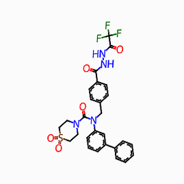 O=C(NNC(=O)C(F)(F)F)c1ccc(CN(C(=O)N2CCS(=O)(=O)CC2)c2cccc(-c3ccccc3)c2)cc1